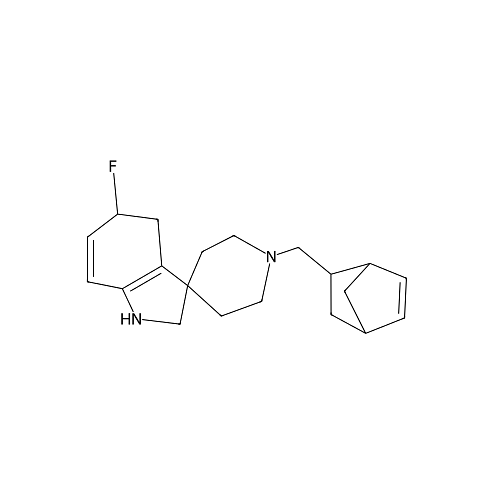 FC1C=CC2=C(C1)C1(CCN(CC3CC4C=CC3C4)CC1)CN2